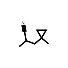 CC(C#N)CC1(C)CC1